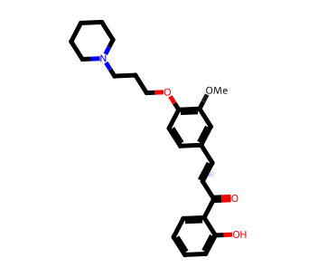 COc1cc(/C=C/C(=O)c2ccccc2O)ccc1OCCCN1CCCCC1